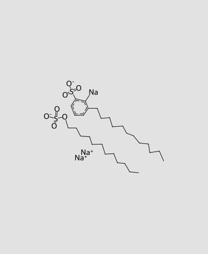 CCCCCCCCCCCCOS(=O)(=O)[O-].CCCCCCCCCCCCc1cccc(S(=O)(=O)[O-])[c]1[Na].[Na+].[Na+]